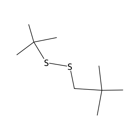 CC(C)(C)CSSC(C)(C)C